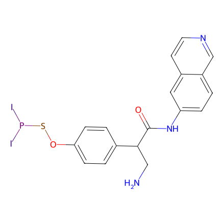 NCC(C(=O)Nc1ccc2cnccc2c1)c1ccc(OSP(I)I)cc1